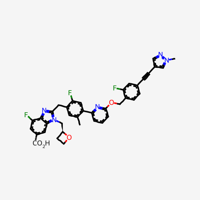 Cc1cc(Cc2nc3c(F)cc(C(=O)O)cc3n2C[C@@H]2CCO2)c(F)cc1-c1cccc(OCc2ccc(C#Cc3cnn(C)c3)cc2F)n1